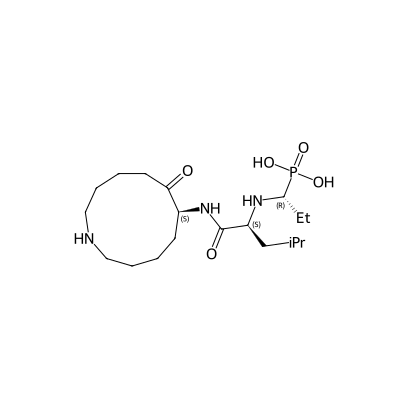 CC[C@H](N[C@@H](CC(C)C)C(=O)N[C@H]1CCCCNCCCCC1=O)P(=O)(O)O